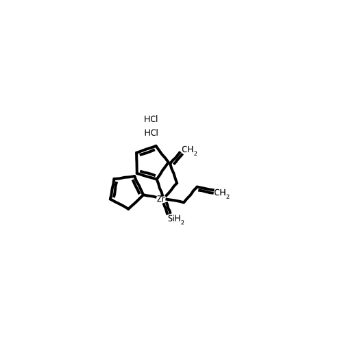 C=C[CH2][Zr](=[SiH2])([CH2]C=C)([C]1=CC=CC1)[C]1=CC=CC1.Cl.Cl